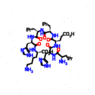 CC(C)C[C@H](NC(=O)[C@H](CC(C)C)NC(=O)[C@H](CCC(=O)O)NC(=O)[C@H](Cc1c[nH]cn1)NC(=O)[C@@H](N)CC(C)C)C(=O)N[C@@H](Cc1c[nH]cn1)C(=O)N[C@@H](CCCCN)C(=O)O